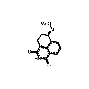 CO/N=C1\CCn2c(=O)[nH]c(=O)c3cccc1c32